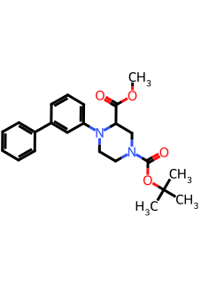 COC(=O)C1CN(C(=O)OC(C)(C)C)CCN1c1cccc(-c2ccccc2)c1